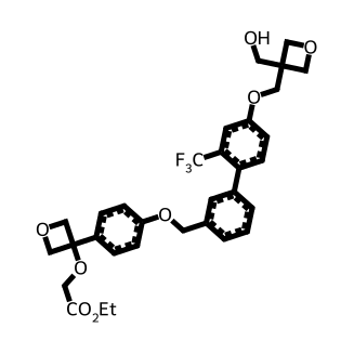 CCOC(=O)COC1(c2ccc(OCc3cccc(-c4ccc(OCC5(CO)COC5)cc4C(F)(F)F)c3)cc2)COC1